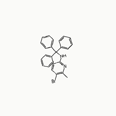 Cc1nc(NC(c2ccccc2)(c2ccccc2)c2ccccc2)ccc1Br